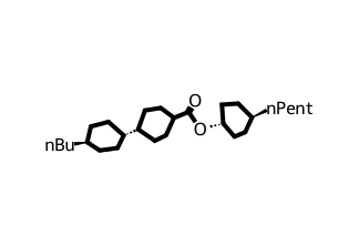 CCCCC[C@H]1CC[C@H](OC(=O)C2CCC([C@H]3CC[C@H](CCCC)CC3)CC2)CC1